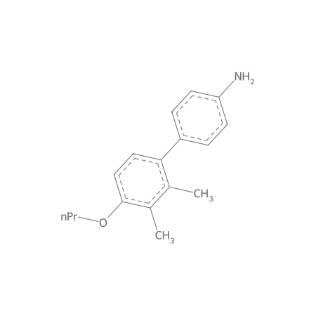 CCCOc1ccc(-c2ccc(N)cc2)c(C)c1C